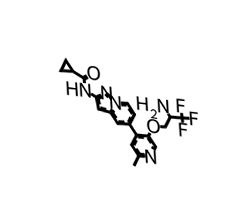 Cc1cc(-c2ccn3nc(NC(=O)C4CC4)cc3c2)c(OCC(N)C(F)(F)F)cn1